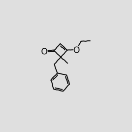 CCOC1=CC(=O)C1(C)Cc1ccccc1